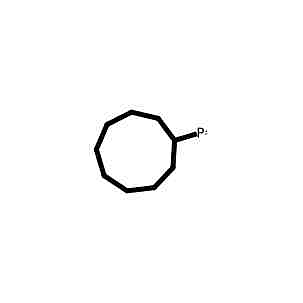 [P]C1CCCCCCCC1